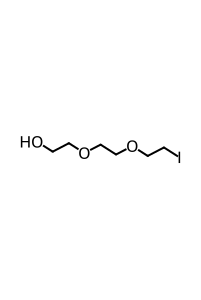 OCCOCCOCCI